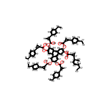 CCc1ccc(C2CC2C(=O)Oc2cc3c4cc(OC(=O)C5CC5c5ccc(CC)cc5)c(OC(=O)C5CC5c5ccc(CC)cc5)cc4c4cc(OC(=O)C5CC5c5ccc(CC)cc5)c(OC(=O)C5CC5c5ccc(CC)cc5)cc4c3cc2OC(=O)C2CC2c2ccc(CC)cc2)cc1